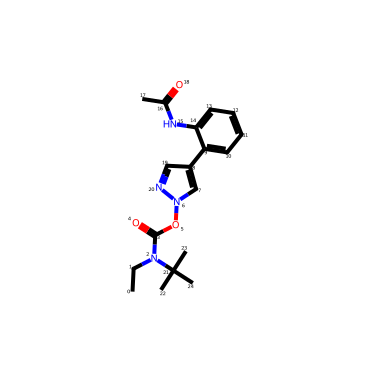 CCN(C(=O)On1cc(-c2ccccc2NC(C)=O)cn1)C(C)(C)C